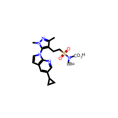 CCCCN(C(=O)O)S(=O)(=O)CCc1c(C)nn(C)c1-n1ccc2cc(C3CC3)cnc21